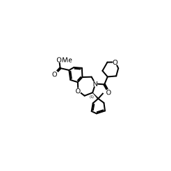 COC(=O)c1ccc2c(c1)OC[C@H](C1(C)C=CC=CC1)N(C(=O)C1CCOCC1)C2